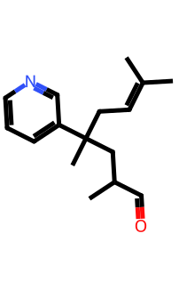 CC(C)=CCC(C)(CC(C)C=O)c1cccnc1